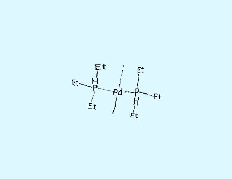 CC[PH](CC)(CC)[Pd]([I])([I])[PH](CC)(CC)CC